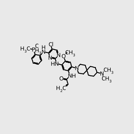 C=CC(=O)Nc1cc(Nc2ncc(Cl)c(Nc3ccccc3P(C)C)n2)c(OC)cc1N1CCC2(CCC(N(C)C)CC2)CC1